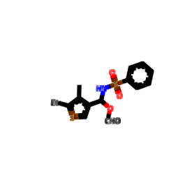 CCc1scc(C(NS(=O)(=O)c2ccccc2)OC=O)c1C